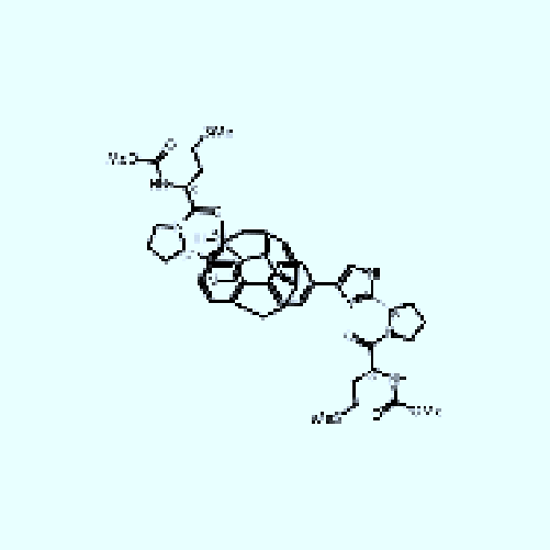 COC(=O)N[C@@H](CCSC)C(=O)N1CCC[C@H]1c1nc(-c2ccc(-c3cc4ccc3CCc3ccc(c(-c5c[nH]c([C@@H]6CCCN6C(=O)[C@H](CCSC)NC(=O)OC)n5)c3)C[C@H]4C)cc2)c[nH]1